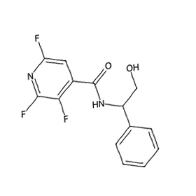 O=C(NC(CO)c1ccccc1)c1cc(F)nc(F)c1F